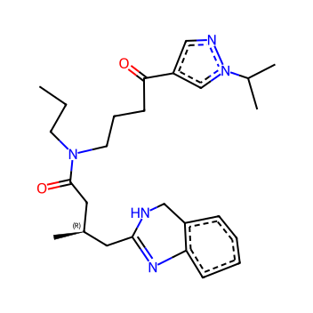 CCCN(CCCC(=O)c1cnn(C(C)C)c1)C(=O)C[C@H](C)CC1=Nc2ccccc2CN1